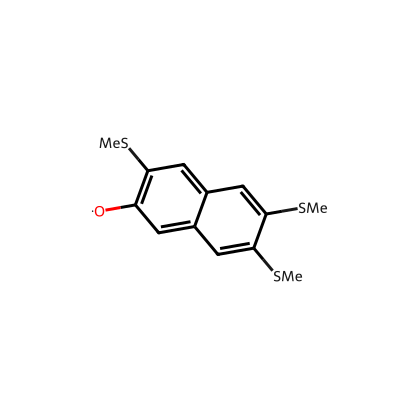 CSc1cc2cc(SC)c(SC)cc2cc1[O]